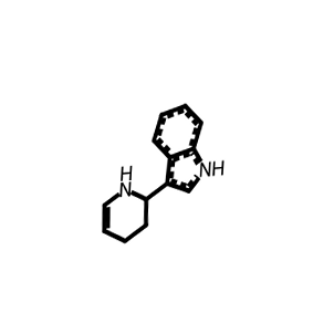 C1=CNC(c2c[nH]c3ccccc23)CC1